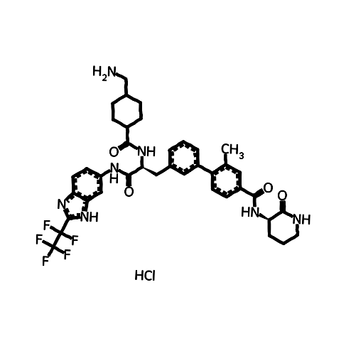 Cc1cc(C(=O)N[C@@H]2CCCNC2=O)ccc1-c1cccc(C[C@H](NC(=O)C2CCC(CN)CC2)C(=O)Nc2ccc3nc(C(F)(F)C(F)(F)F)[nH]c3c2)c1.Cl